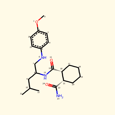 COc1ccc(NCC(CC(C)C)NC(=O)[C@@H]2CCCC[C@@H]2C(N)=O)cc1